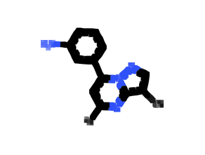 [2H]c1cc(-c2cccc(N)c2)n2ncc(C#N)c2n1